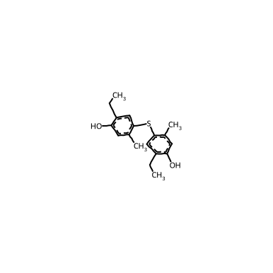 CCc1cc(Sc2cc(CC)c(O)cc2C)c(C)cc1O